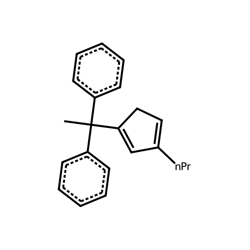 CCCC1=CCC(C(C)(c2ccccc2)c2ccccc2)=C1